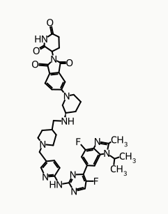 Cc1nc2c(F)cc(-c3nc(Nc4ccc(CN5CCC(CN[C@@H]6CCCN(c7ccc8c(c7)C(=O)N(C7CCC(=O)NC7=O)C8=O)C6)CC5)cn4)ncc3F)cc2n1C(C)C